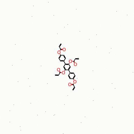 C=CC(=O)Oc1ccc(-c2cc(OC(=O)C=C)c(-c3ccc(OC(=O)C=C)cc3)cc2OC(=O)C=C)cc1